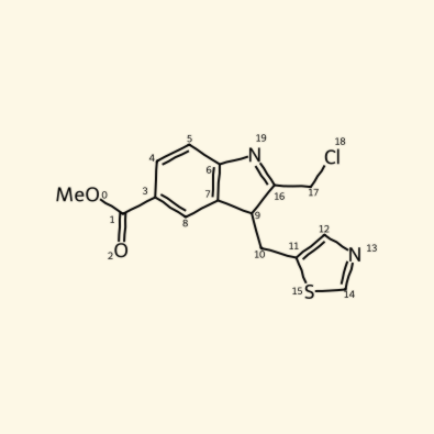 COC(=O)c1ccc2c(c1)C(Cc1cncs1)C(CCl)=N2